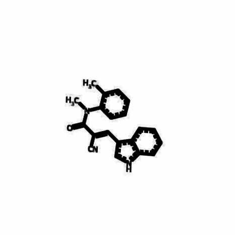 Cc1ccccc1N(C)C(=O)/C(C#N)=C/c1c[nH]c2ccccc12